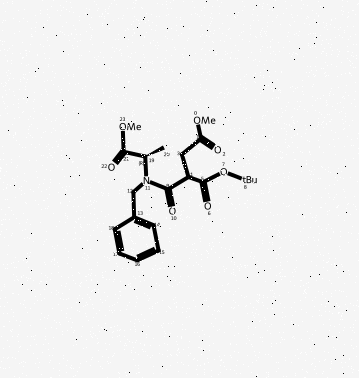 COC(=O)CC(C(=O)OC(C)(C)C)C(=O)N(Cc1ccccc1)[C@H](C)C(=O)OC